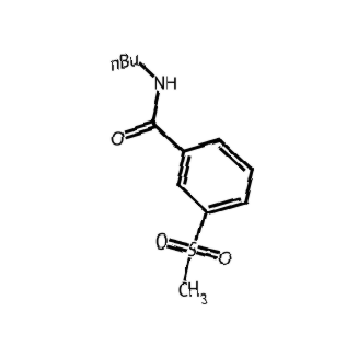 CCCCNC(=O)c1cccc(S(C)(=O)=O)c1